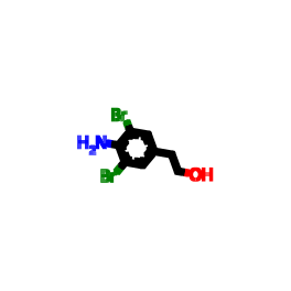 Nc1c(Br)cc(CCO)cc1Br